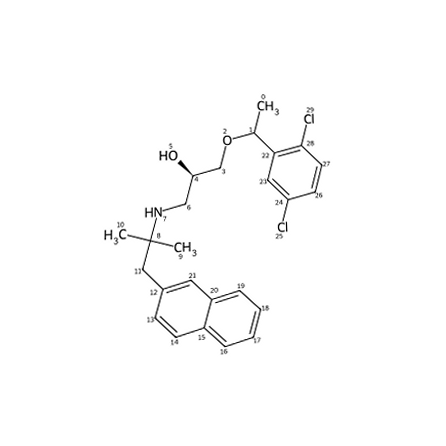 CC(OC[C@H](O)CNC(C)(C)Cc1ccc2ccccc2c1)c1cc(Cl)ccc1Cl